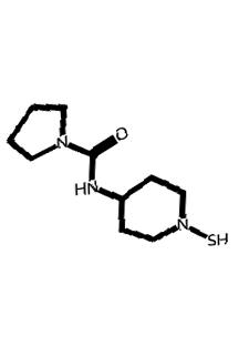 O=C(NC1CCN(S)CC1)N1CCCC1